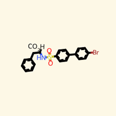 O=C(O)C(Cc1ccccc1)NS(=O)(=O)c1ccc(-c2ccc(Br)cc2)cc1